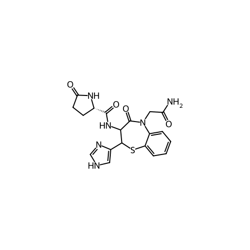 NC(=O)CN1C(=O)C(NC(=O)[C@@H]2CCC(=O)N2)C(c2c[nH]cn2)Sc2ccccc21